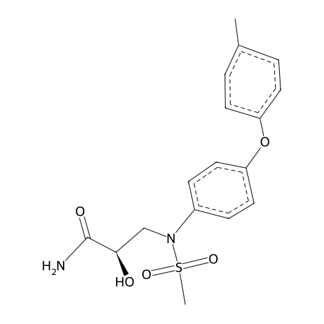 Cc1ccc(Oc2ccc(N(C[C@@H](O)C(N)=O)S(C)(=O)=O)cc2)cc1